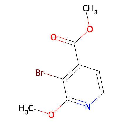 COC(=O)c1ccnc(OC)c1Br